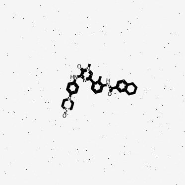 Cc1c(NC(=O)c2ccc3c(c2)CCCC3)cccc1-c1cn(C)c(=O)c(Nc2ccc(N3CC[S+]([O-])CC3)cc2)n1